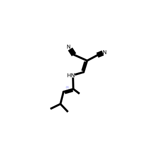 C/C(=C\C(C)C)NC=C(C#N)C#N